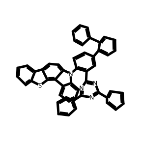 c1ccc(-c2nc(-c3ccccc3)nc(-c3cc(-c4ccccc4-c4ccccc4)ccc3-n3c4ccccc4c4c5sc6ccccc6c5ccc43)n2)cc1